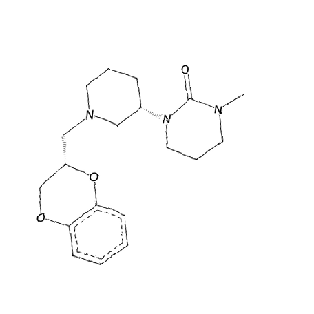 CN1CCCN([C@H]2CCCN(C[C@H]3COc4ccccc4O3)C2)C1=O